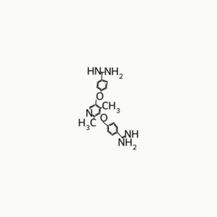 Cc1ncc(COc2ccc(C(=N)N)cc2)c(C)c1OCc1ccc(C(=N)N)cc1